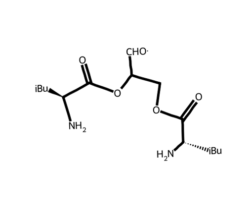 CCC(C)[C@H](N)C(=O)OCC([C]=O)OC(=O)[C@@H](N)C(C)CC